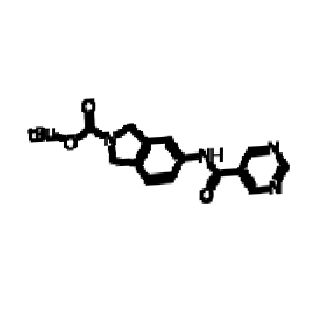 CC(C)(C)OC(=O)N1Cc2ccc(NC(=O)c3cncnc3)cc2C1